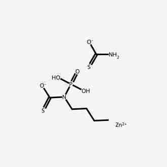 CCCCN(C([O-])=S)P(=O)(O)O.NC([O-])=S.[Zn+2]